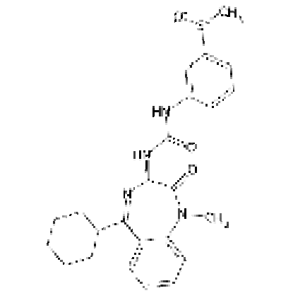 CN1C(=O)[C@H](NC(=O)Nc2cccc([S+](C)[O-])c2)N=C(C2CCCCC2)c2ccccc21